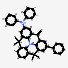 C=C1c2cc(-c3ccccc3)cc3c2N2c4c1cc(N(c1ccccc1)c1ccccc1)cc4C(C)(C)c1cccc(c12)C3(C)C